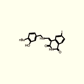 CCCCc1ccc(CN/C=C2\C(=O)NC(=O)c3ccc(I)cc32)cc1O